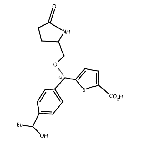 CCC(O)c1ccc([C@H](OCC2CCC(=O)N2)c2ccc(C(=O)O)s2)cc1